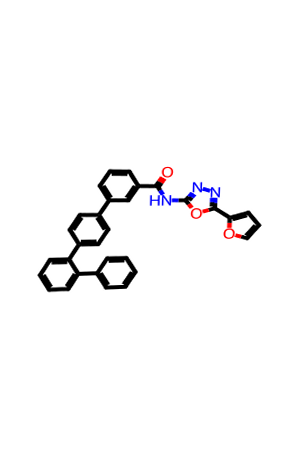 O=C(Nc1nnc(-c2ccco2)o1)c1cccc(-c2ccc(-c3ccccc3-c3ccccc3)cc2)c1